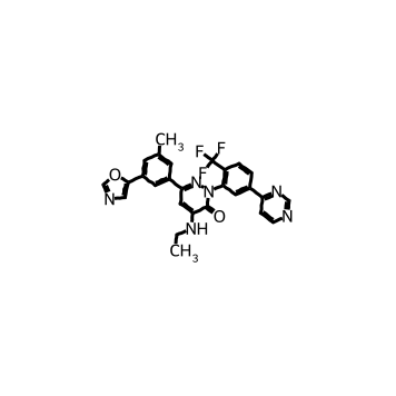 CCNc1cc(-c2cc(C)cc(-c3cnco3)c2)nn(-c2cc(-c3ccncn3)ccc2C(F)(F)F)c1=O